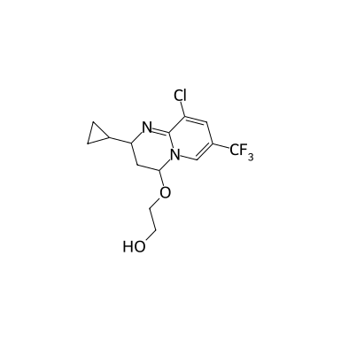 OCCOC1CC(C2CC2)N=C2C(Cl)=CC(C(F)(F)F)=CN21